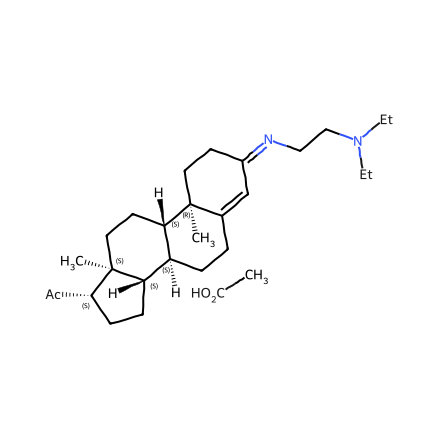 CC(=O)O.CCN(CC)CCN=C1C=C2CC[C@H]3[C@@H]4CC[C@H](C(C)=O)[C@@]4(C)CC[C@@H]3[C@@]2(C)CC1